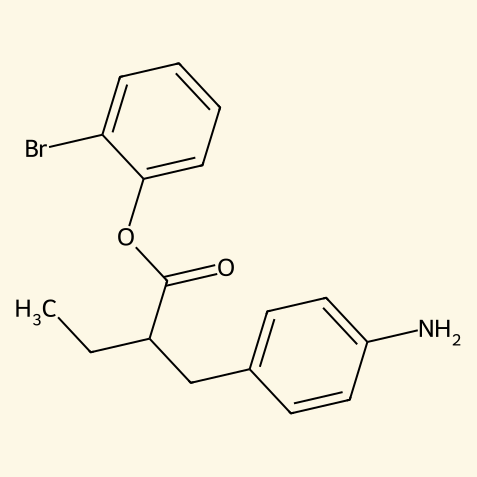 CCC(Cc1ccc(N)cc1)C(=O)Oc1ccccc1Br